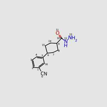 N#Cc1cccc(C2CCC(C(=O)NN)CC2)c1